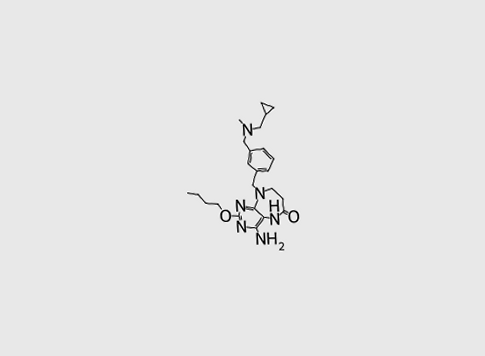 CCCCOc1nc(N)c2c(n1)N(Cc1cccc(CN(C)CC3CC3)c1)CCC(=O)N2